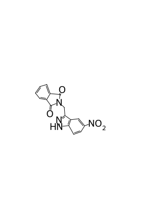 O=C1c2ccccc2C(=O)N1Cc1n[nH]c2ccc([N+](=O)[O-])cc12